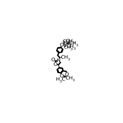 C[C@H](Cc1ccc(O[Si](C)(C)C(C)(C)C)cc1)N1C[C@@H](c2ccc3c(c2)COC(C)(C)O3)OC1=O